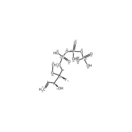 C=C[C@H](O)[C@@](F)(COP(=O)(O)OP(=O)(O)OP(=O)(O)O)OC